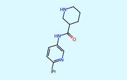 CC(C)c1ccc(NC(=O)C2CCCNC2)cn1